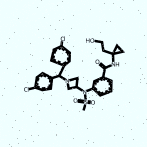 CS(=O)(=O)N(c1cccc(C(=O)NC2(CCO)CC2)c1)C1CN(C(c2ccc(Cl)cc2)c2ccc(Cl)cc2)C1